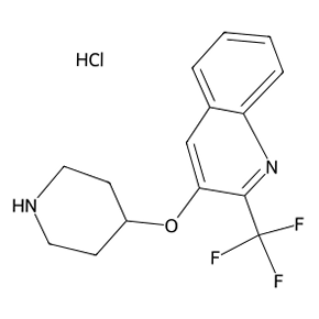 Cl.FC(F)(F)c1nc2ccccc2cc1OC1CCNCC1